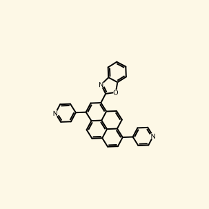 c1ccc2oc(-c3cc(-c4ccncc4)c4ccc5ccc(-c6ccncc6)c6ccc3c4c56)nc2c1